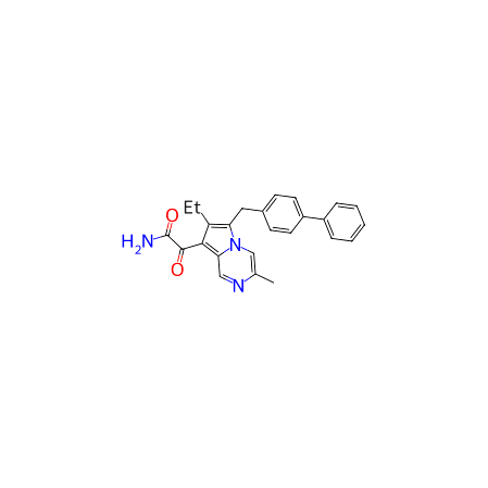 CCc1c(C(=O)C(N)=O)c2cnc(C)cn2c1Cc1ccc(-c2ccccc2)cc1